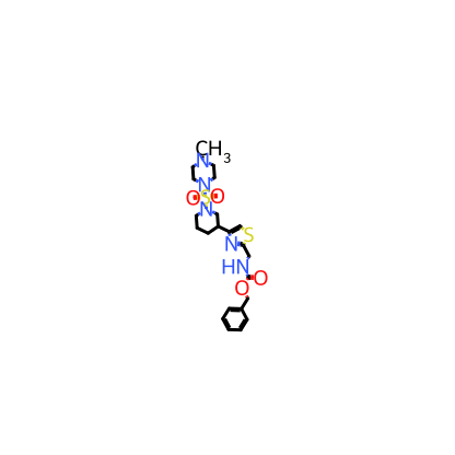 CN1CCN(S(=O)(=O)N2CCCC(c3csc(CNC(=O)OCc4ccccc4)n3)C2)CC1